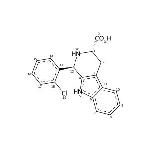 O=C(O)[C@@H]1Cc2c([nH]c3ccccc23)[C@@H](c2ccccc2Cl)N1